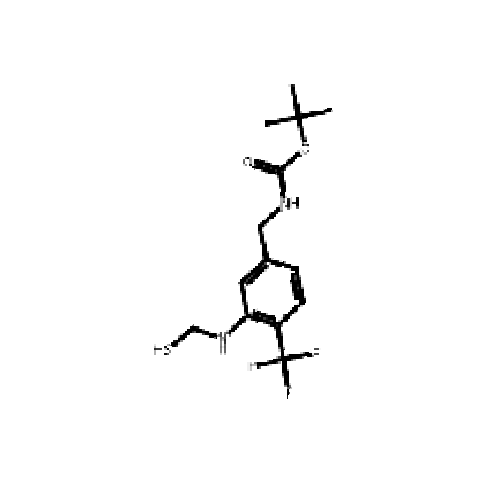 CC(C)(C)OC(=O)NCc1ccc(C(F)(F)F)c(NCS)c1